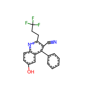 N#Cc1c(CCC(F)(F)F)nc2ccc(O)cc2c1-c1ccccc1